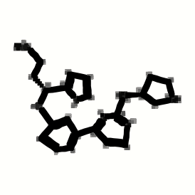 CNCC[C@@H](Oc1cccc(-c2ccnc(N[C@H]3CCNC3)n2)c1)c1cccs1